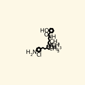 CCC(CCc1ccc(N)c(Cl)c1)C[N+](C)(CCCNC(=O)c1ccccc1O)C(C)C.[Cl-]